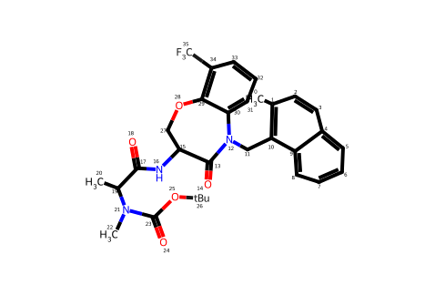 Cc1ccc2ccccc2c1CN1C(=O)C(NC(=O)C(C)N(C)C(=O)OC(C)(C)C)COc2c1cccc2C(F)(F)F